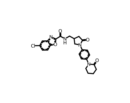 O=C(NCC1CC(=O)N(c2ccc(N3CCCCC3=O)cc2)C1)c1nc2cc(Cl)ccc2o1